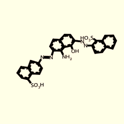 Nc1c(N=Nc2ccc3c(S(=O)(=O)O)cccc3c2)ccc2ccc(N=Nc3ccc4ccccc4c3S(=O)(=O)O)c(O)c12